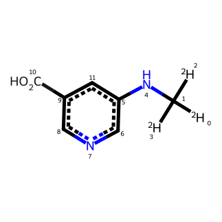 [2H]C([2H])([2H])Nc1cncc(C(=O)O)c1